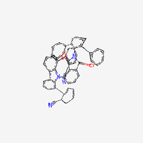 N#Cc1ccccc1-c1cccc2c3cccc(C4=CC=CCC4C#N)c3n(-c3cccc4c3C(=O)N(c3c(-c5ccccc5)cccc3-c3ccccc3)C4=O)c12